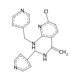 C=C(NCc1ccncc1)c1ccc(Cl)nc1NCc1ccncc1